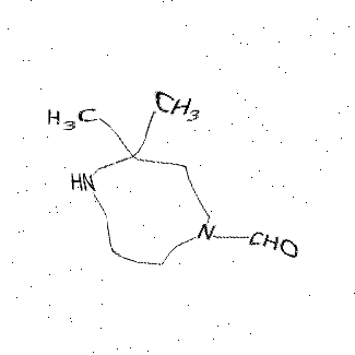 CC1(C)CN(C=O)CCN1